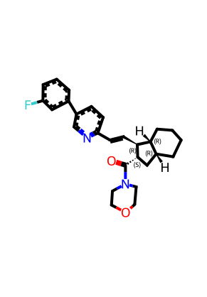 O=C([C@H]1C[C@H]2CCCC[C@H]2[C@@H]1C=Cc1ccc(-c2cccc(F)c2)cn1)N1CCOCC1